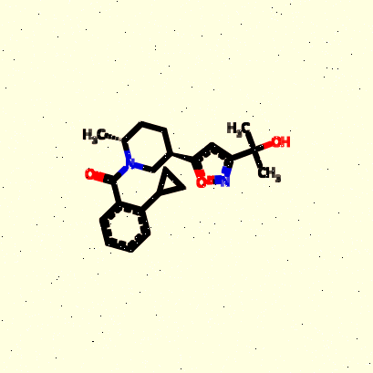 C[C@@H]1CC[C@@H](c2cc(C(C)(C)O)no2)CN1C(=O)c1ccccc1C1CC1